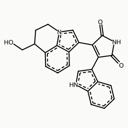 O=C1NC(=O)C(c2cn3c4c(cccc24)C(CO)CC3)=C1c1c[nH]c2ccccc12